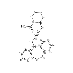 O=C(O)C1CCCCN1CC#CCN1c2ccccc2CCc2ccccc21